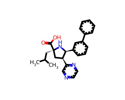 CC(C)C[C@@]1(C(=O)O)C[C@H](c2cnccn2)[C@H](c2cccc(-c3ccccc3)c2)N1